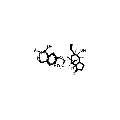 C=C[C@]1(C)C[C@@H](C(Oc2ccc3c(c2)B(O)N(C(C)=O)N=C3)C(=O)O)[C@@]2(C)[C@H](C)CC[C@]3(CCC(=O)[C@H]32)[C@@H](C)[C@@H]1O